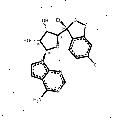 CC[C@@]1([C@H]2O[C@@H](n3ccc4c(N)ncnc43)[C@H](O)[C@@H]2O)OCc2cc(Cl)ccc21